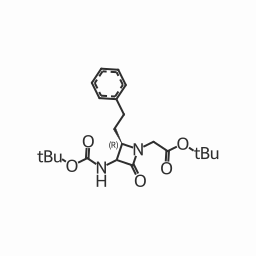 CC(C)(C)OC(=O)CN1C(=O)C(NC(=O)OC(C)(C)C)[C@H]1CCc1ccccc1